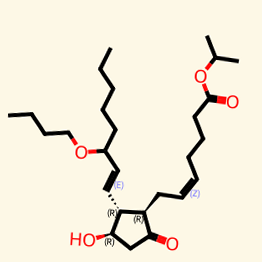 CCCCCC(/C=C/[C@H]1[C@H](O)CC(=O)[C@@H]1C/C=C\CCCC(=O)OC(C)C)OCCCC